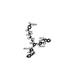 COC(=O)C1CCC(C(=O)NCC(=O)NCC(=O)NCC(=O)Nc2cc(COc3cc4c(cc3OC)C(=O)N3c5ccccc5C[C@H]3C=N4)cc(COc3cc4c(cc3OC)C(=O)N3c5ccccc5C[C@H]3C(C)N4)c2)CC1